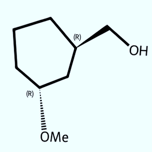 CO[C@@H]1CCC[C@@H](CO)C1